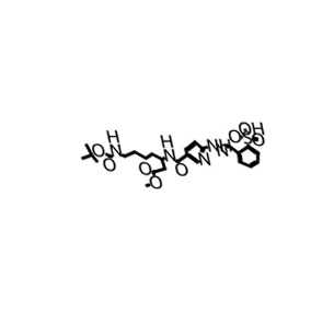 COC(=O)CC(CCCCNC(=O)OC(C)(C)C)NC(=O)c1ccc(NN=Cc2ccccc2S(=O)(=O)O)nc1